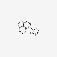 c1cc2c3c(ccc(-c4ccn[nH]4)c3c1)CC2